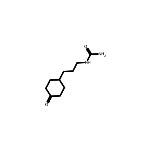 NC(=O)NCCCC1CCC(=O)CC1